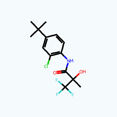 CC(C)(C)c1ccc(NC(=O)C(C)(O)C(F)(F)F)c(Cl)c1